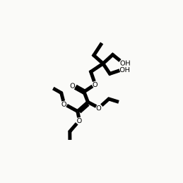 CCOC(OCC)=C(OCC)C(=O)OCC(CC)(CO)CO